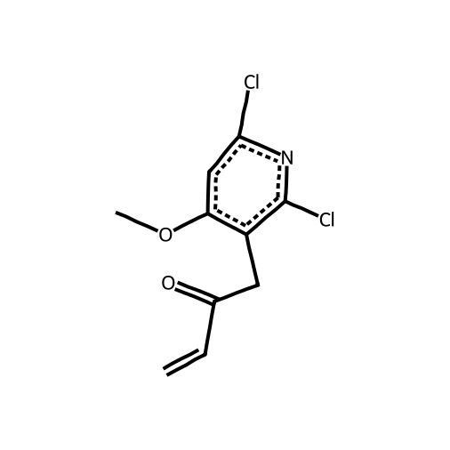 C=CC(=O)Cc1c(OC)cc(Cl)nc1Cl